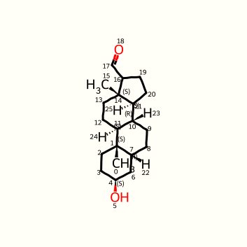 C[C@]12CC[C@H](O)C[C@H]1CC[C@@H]1[C@@H]2CC[C@]2(C)C(C=O)CC[C@@H]12